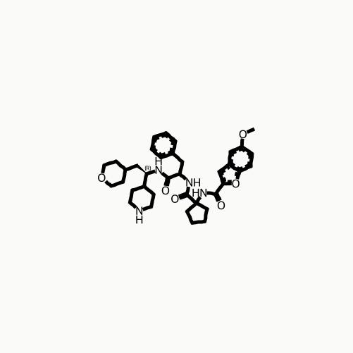 COc1ccc2oc(C(=O)NC3(C(=O)NC(Cc4ccccc4)C(=O)N[C@H](CC4CCOCC4)C4CCNCC4)CCCC3)cc2c1